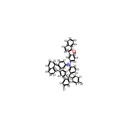 Cc1ccc([Si](c2ccc(C)cc2)(c2ccc(C)cc2)c2cccc(N(c3ccc(-c4cccc5ccccc45)cc3)c3ccc4oc5c6ccccc6ccc5c4c3)c2)cc1